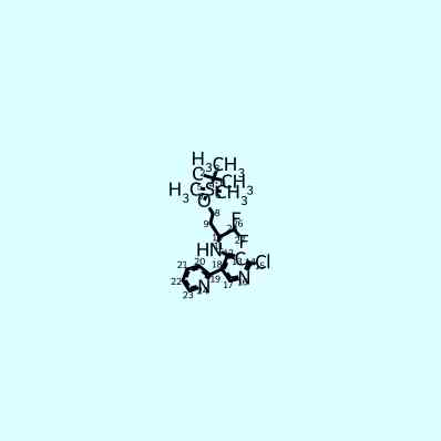 CC(C)(C)[Si](C)(C)OCCC(Nc1cc(Cl)ncc1-c1ccccn1)C(F)F